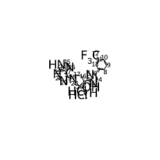 Cl.Cl.OC1(c2nc(-c3cccc(C(F)(F)F)c3)c[nH]2)CCN(c2ncnc3[nH]cnc23)CC1